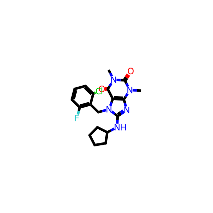 Cn1c(=O)c2c(nc(NC3CCCC3)n2Cc2c(F)cccc2Cl)n(C)c1=O